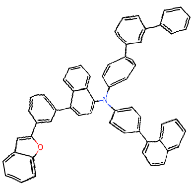 c1ccc(-c2cccc(-c3ccc(N(c4ccc(-c5cccc6ccccc56)cc4)c4ccc(-c5cccc(-c6cc7ccccc7o6)c5)c5ccccc45)cc3)c2)cc1